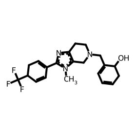 Cn1c(C2=CCC(C(F)(F)F)C=C2)nc2c1CN(CC1=CC=CCC1O)CC2